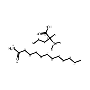 CCCC(C)(C(=O)O)N(C)C.CCCCCCCCCCCC(N)=O